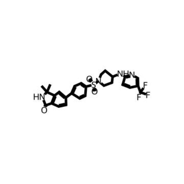 CC1(C)NC(=O)c2ccc(-c3ccc(S(=O)(=O)N4CCC(Nc5ccc(C(F)(F)F)cn5)CC4)cc3)cc21